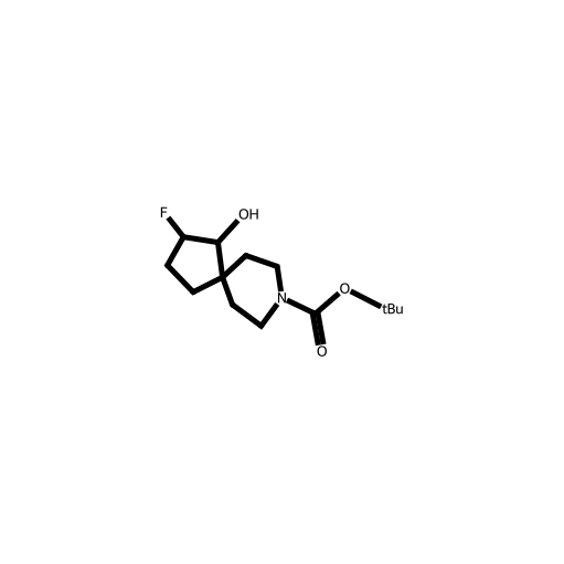 CC(C)(C)OC(=O)N1CCC2(CCC(F)C2O)CC1